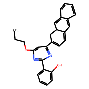 CCCOc1cc(C2=CC=C3C=c4ccccc4=CC3C2)nc(-c2ccccc2O)n1